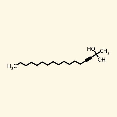 CCCCCCCCCCCCCC#CC(C)(O)O